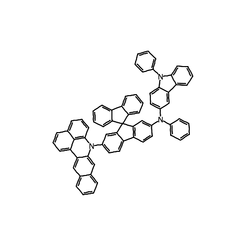 c1ccc(N(c2ccc3c(c2)C2(c4ccccc4-c4ccccc42)c2cc(N4c5cc6ccccc6cc5-c5cccc6cccc4c56)ccc2-3)c2ccc3c(c2)c2ccccc2n3-c2ccccc2)cc1